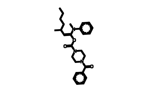 CCCCC(C)/C=C(/OC(=O)N1CCN(C(=O)c2ccccc2)CC1)N(C)c1ccccc1